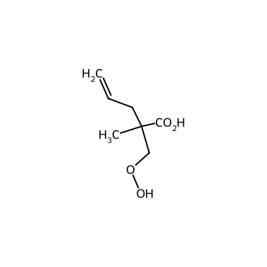 C=CCC(C)(COO)C(=O)O